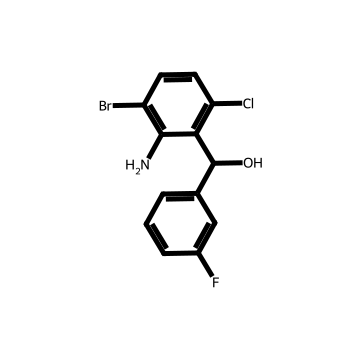 Nc1c(Br)ccc(Cl)c1C(O)c1cccc(F)c1